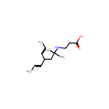 CC=CC(C=CC)CC(C)(C)NCCC(=O)O